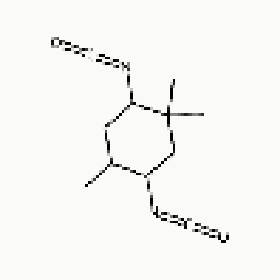 CC1CC(N=C=O)C(C)(C)CC1N=C=O